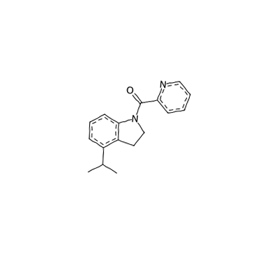 CC(C)c1cccc2c1CCN2C(=O)c1ccccn1